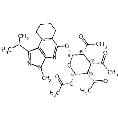 CC(=O)O[C@@H]1O[C@H](Oc2nc3c(c(C(C)C)nn3C)c3c2CCCC3)[C@H](C(C)=O)[C@H](C(C)=O)[C@@H]1C(C)=O